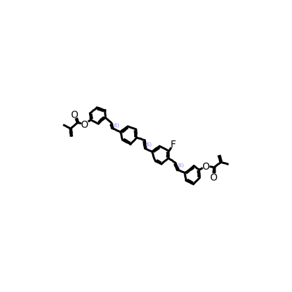 C=C(C)C(=O)Oc1cccc(/C=C/c2ccc(/C=C/c3ccc(/C=C/c4cccc(OC(=O)C(=C)C)c4)c(F)c3)cc2)c1